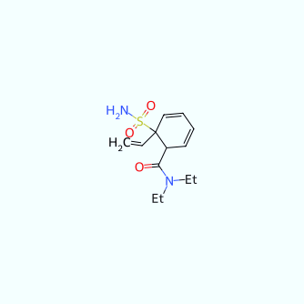 C=CC1(S(N)(=O)=O)C=CC=CC1C(=O)N(CC)CC